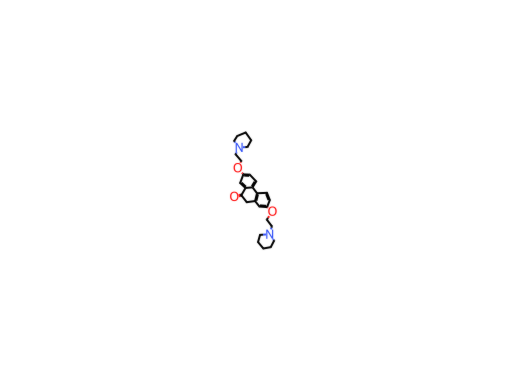 O=C1Cc2cc(OCCN3CCCCC3)ccc2-c2ccc(OCCN3CCCCC3)cc21